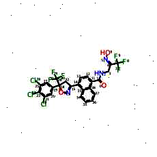 O=C(NCC(=NO)C(F)(F)F)c1ccc(C2=NOC(c3cc(Cl)c(Cl)c(Cl)c3)(C(F)(F)F)C2)c2ccccc12